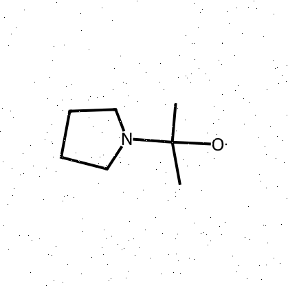 CC(C)([O])N1CCCC1